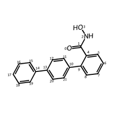 O=C(NO)c1ccccc1-c1ccc(-c2ccccc2)cc1